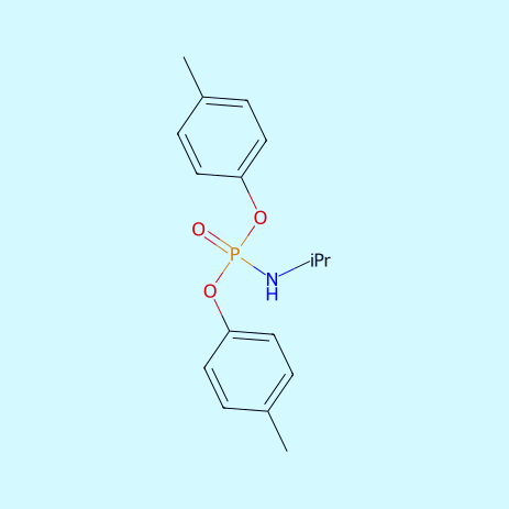 Cc1ccc(OP(=O)(NC(C)C)Oc2ccc(C)cc2)cc1